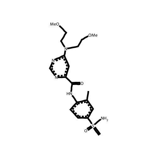 C=S(N)(=O)c1ccc(NC(=O)c2cc(N(CCOC)CCOC)ncn2)c(C)c1